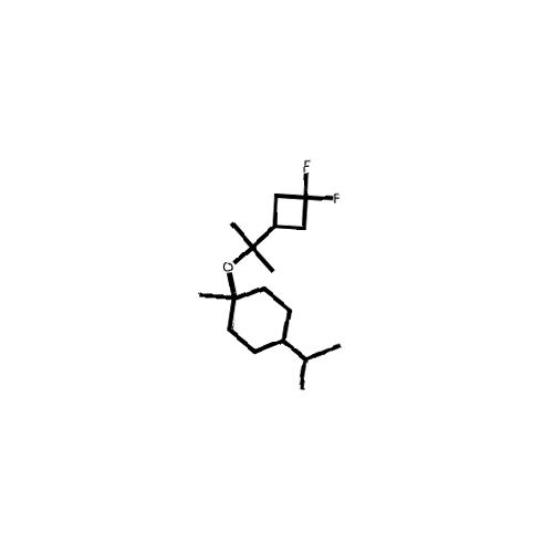 CC(C)C1CCC(C)(OC(C)(C)C2CC(F)(F)C2)CC1